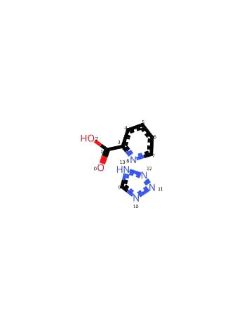 O=C(O)c1ccccn1.c1nnn[nH]1